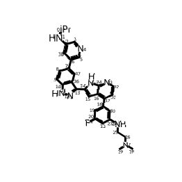 CC(C)Nc1cncc(-c2ccc3[nH]nc(-c4cc5c(-c6cc(F)cc(NCCN(C)C)c6)ccnc5[nH]4)c3c2)c1